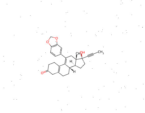 CC#C[C@]1(O)CC[C@H]2[C@@H]3CCC4=C(CCC(=O)C4)C3=C(c3ccc4c(c3)OCO4)C[C@@]21C